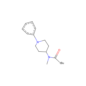 CN(C(=O)C(C)(C)C)C1CCN(c2ccccc2)CC1